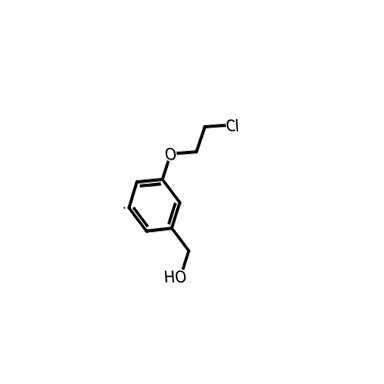 OCc1c[c]cc(OCCCl)c1